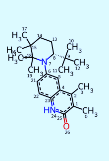 Cc1c(C)c2cc(N3[C@@H](C(C)(C)C)CCC(C)(C)C3(C)C)ccc2[nH]c1=O